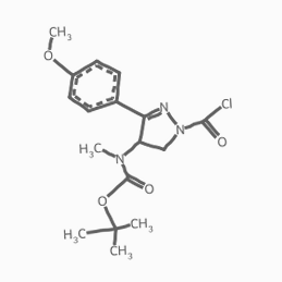 COc1ccc(C2=NN(C(=O)Cl)CC2N(C)C(=O)OC(C)(C)C)cc1